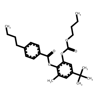 CCCCOC(=O)Oc1cc(C(C)(C)C)cc(C)c1OC(=O)c1ccc(CCCC)cc1